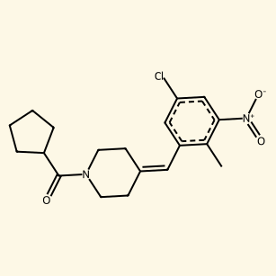 Cc1c(C=C2CCN(C(=O)C3CCCC3)CC2)cc(Cl)cc1[N+](=O)[O-]